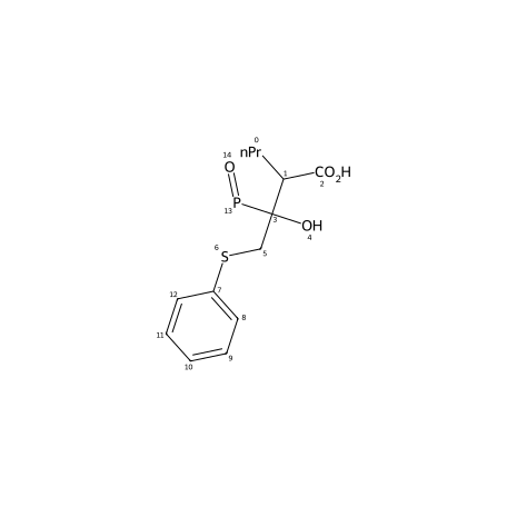 CCCC(C(=O)O)C(O)(CSc1ccccc1)P=O